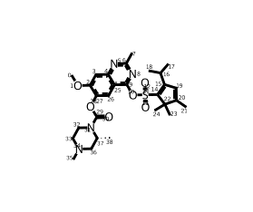 COc1cc2nc(C)nc(OS(=O)(=O)C3=C(C(C)C)C=C(C)C3(C)C)c2cc1OC(=O)N1CCN(C)C[C@H]1C